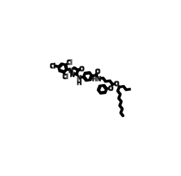 CCCCCCCCC(CCC)OC(CCCNC(=O)c1ccc(NC2=NN(c3c(Cl)cc(Cl)cc3Cl)CC2=O)cc1)Oc1ccccc1